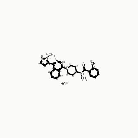 CN(C(=O)c1ccccc1C#N)C1CCN(c2nnc(-c3ccnn3C)c3ccccc23)CC1.Cl